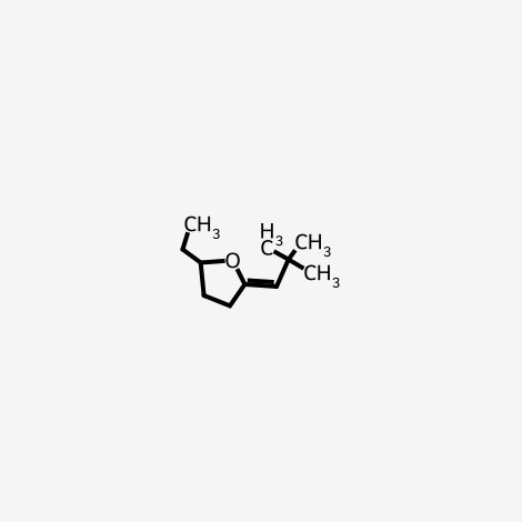 CCC1CC/C(=C/C(C)(C)C)O1